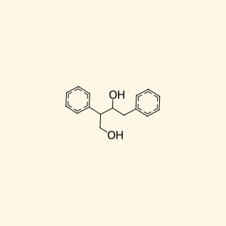 OCC(c1ccccc1)C(O)Cc1ccccc1